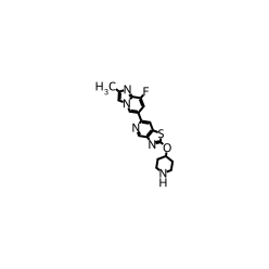 Cc1cn2cc(-c3cc4sc(OC5CCNCC5)nc4cn3)cc(F)c2n1